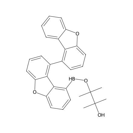 CC(C)(O)C(C)(C)OBc1cccc2oc3cccc(-c4cccc5oc6ccccc6c45)c3c12